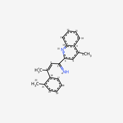 C/C(=C/C(=N)c1cc(C)c2ccccc2n1)c1ccccc1C